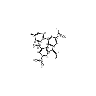 CN=C1c2cc([N+](=O)[O-])cc(-c3ccc(C)cc3)c2-c2c1cc([N+](=O)[O-])cc2[N+](=O)[O-]